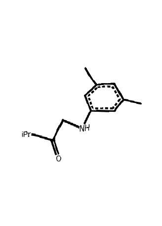 Cc1cc(C)cc(NCC(=O)C(C)C)c1